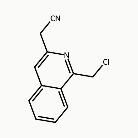 N#CCc1cc2ccccc2c(CCl)n1